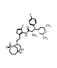 C[C@@H]1C[C@H]([C@H](c2ccc(F)cc2)[C@H](N)C(=O)NC2=C(CC[C@H]3CN[C@@H]4CCCS(=O)(=O)N3C4)CC=C2F)C[C@H](C)O1